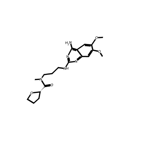 COc1cc2nc(NCCCN(C)C(=O)[C@@H]3CCCO3)nc(N)c2cc1OC